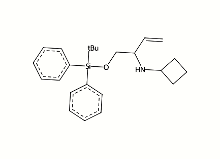 C=CC(CO[Si](c1ccccc1)(c1ccccc1)C(C)(C)C)NC1CCC1